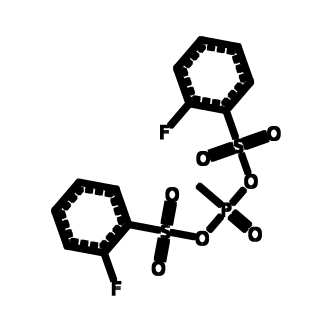 CP(=O)(OS(=O)(=O)c1ccccc1F)OS(=O)(=O)c1ccccc1F